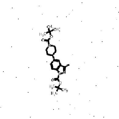 CC(C)(C)OC(=O)N1CCC(c2ccc3c(c2)c(I)nn3C(=O)OC(C)(C)C)CC1